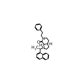 C[C@H](c1cccc2ccccc12)N1CC[C@@H]2CCN(CCc3ccccc3)C(=O)[C@@H]21